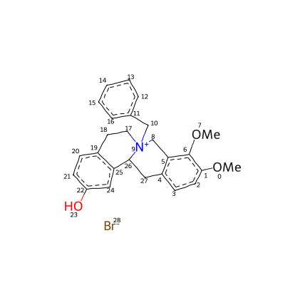 COc1ccc2c(c1OC)C[N+]1(Cc3ccccc3)CCc3ccc(O)cc3C1C2.[Br-]